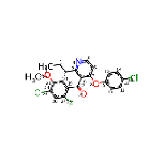 CCCc1nccc(Oc2ccc(Cl)cc2)c1C(=O)c1cc(OC)c(Cl)cc1F